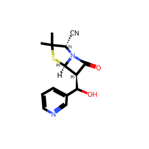 CC1(C)S[C@@H]2[C@H](C(O)c3cccnc3)C(=O)N2[C@H]1C#N